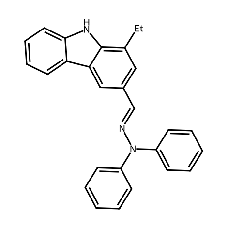 CCc1cc(C=NN(c2ccccc2)c2ccccc2)cc2c1[nH]c1ccccc12